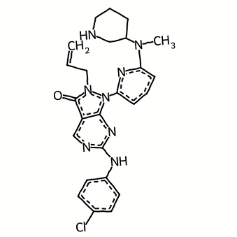 C=CCn1c(=O)c2cnc(Nc3ccc(Cl)cc3)nc2n1-c1cccc(N(C)C2CCCNC2)n1